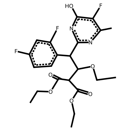 CCOC(=O)C(C(=O)OCC)C(OCC)C(c1nc(C)c(F)c(O)n1)c1ccc(F)cc1F